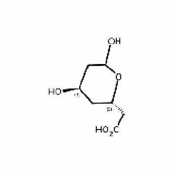 O=C(O)C[C@@H]1C[C@@H](O)CC(O)O1